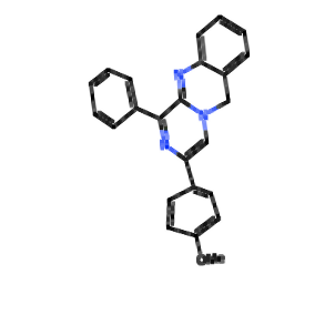 COc1ccc(C2=CN3Cc4ccccc4N=C3C(c3ccccc3)=N2)cc1